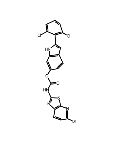 O=C(Nc1nc2ccc(Br)nc2s1)Oc1ccc2cc(-c3c(Cl)cccc3Cl)[nH]c2c1